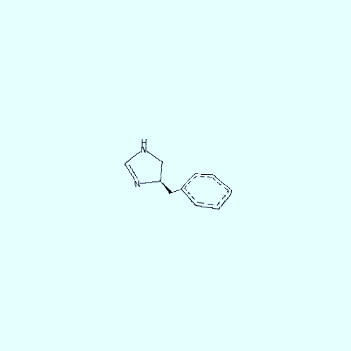 C1=N[C@H](Cc2ccccc2)CN1